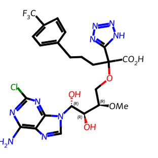 CO[C@H](COC(CCCc1ccc(C(F)(F)F)cc1)(C(=O)O)c1nnn[nH]1)[C@@H](O)[C@@H](O)n1cnc2c(N)nc(Cl)nc21